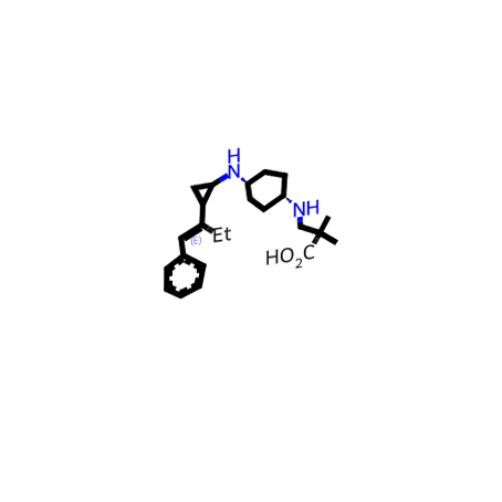 CC/C(=C\c1ccccc1)C1CC1N[C@H]1CC[C@@H](NCC(C)(C)C(=O)O)CC1